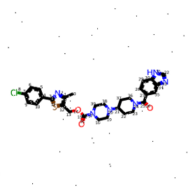 Cc1nc(-c2ccc(Cl)cc2)sc1COC(=O)N1CCN(C2CCN(C(=O)c3ccc4[nH]cnc4c3)CC2)CC1